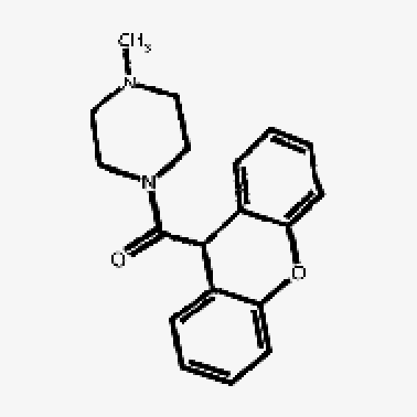 CN1CCN(C(=O)C2c3ccccc3Oc3ccccc32)CC1